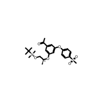 CC(=O)c1cc(Oc2ccc(S(C)(=O)=O)cc2)cc(O[C@@H](C)CO[Si](C)(C)C(C)(C)C)c1